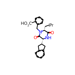 CC(C)C[C@@H]1C(=O)N[C@H](C2Cc3ccccc3C2)C(=O)N1Cc1ccccc1C(=O)O